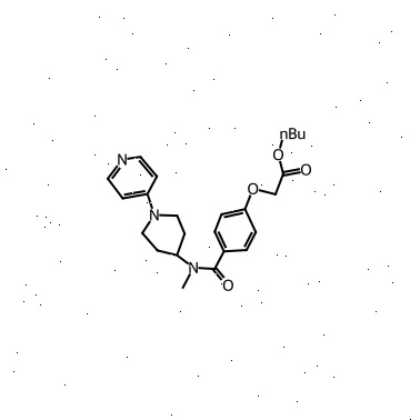 CCCCOC(=O)COc1ccc(C(=O)N(C)C2CCN(c3ccncc3)CC2)cc1